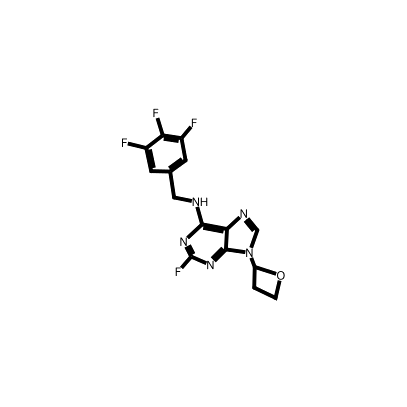 Fc1nc(NCc2cc(F)c(F)c(F)c2)c2ncn(C3CCO3)c2n1